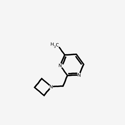 Cc1ccnc(CN2CCC2)n1